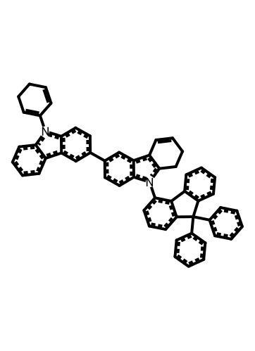 C1=CC(n2c3ccccc3c3cc(-c4ccc5c(c4)c4c(n5-c5cccc6c5-c5ccccc5C6(c5ccccc5)c5ccccc5)CCC=C4)ccc32)=CCC1